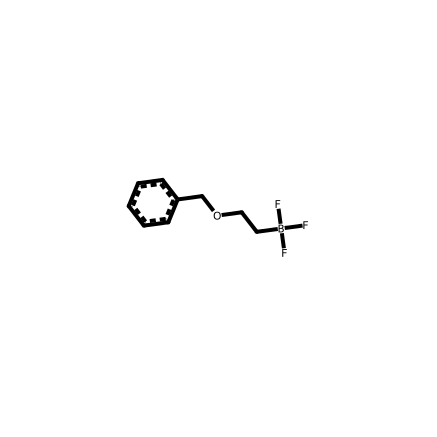 F[B-](F)(F)CCOCc1ccccc1